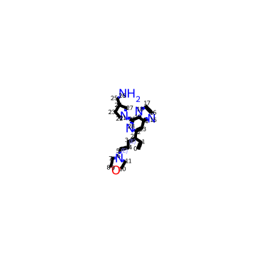 C=C/C(=C\C=C\N1CCOCC1)c1cc2nccnc2c(N2CCC(CN)C2)n1